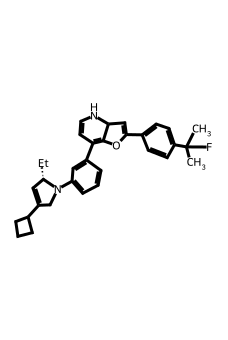 CC[C@H]1C=C(C2CCC2)CN1c1cccc(C2=C3OC(c4ccc(C(C)(C)F)cc4)=CC3NC=C2)c1